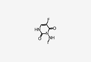 O=c1[nH]cc(F)c(=O)n1NI